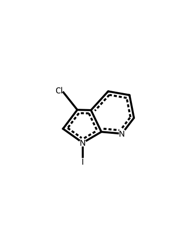 Clc1cn(I)c2ncccc12